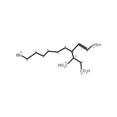 CCCCCCCC/C=C/C(CCCCCCC(C)(C)C)C(CC(=O)O)C(=O)O